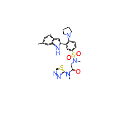 Cc1ccc2cc(-c3cc(S(=O)(=O)N(C)CC(=O)N(C)c4nncs4)ccc3N3CCCC3)[nH]c2c1